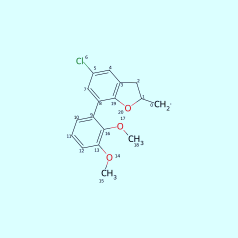 [CH2]C1Cc2cc(Cl)cc(-c3cccc(OC)c3OC)c2O1